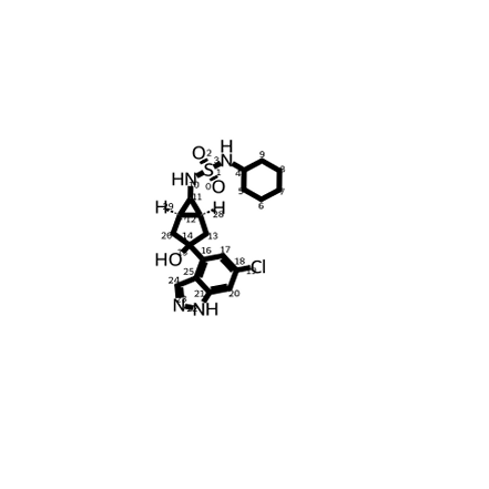 O=S(=O)(NC1CCCCC1)NC1[C@H]2CC(O)(c3cc(Cl)cc4[nH]ncc34)C[C@@H]12